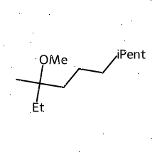 CCCC(C)CCCC(C)(CC)OC